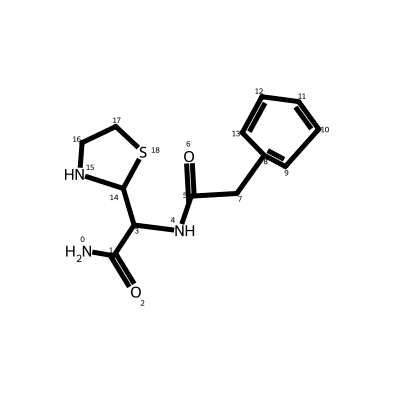 NC(=O)C(NC(=O)Cc1ccccc1)C1NCCS1